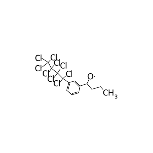 CCCC([O])c1cccc(C(Cl)(Cl)C(Cl)(Cl)C(Cl)(Cl)C(Cl)(Cl)Cl)c1